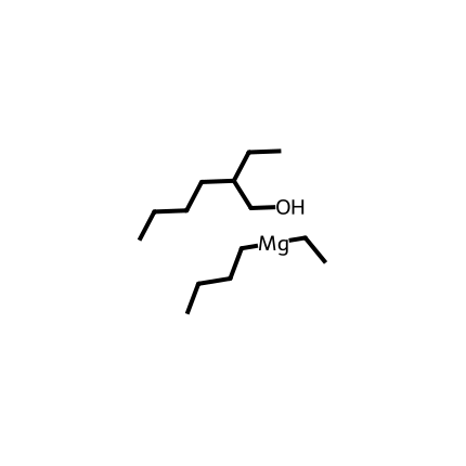 CCCCC(CC)CO.CCC[CH2][Mg][CH2]C